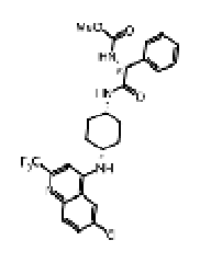 COC(=O)N[C@@H](C(=O)N[C@H]1CC[C@@H](Nc2cc(C(F)(F)F)nc3ccc(Cl)cc23)CC1)c1ccccc1